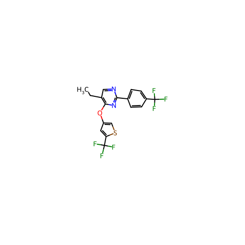 CCc1cnc(-c2ccc(C(F)(F)F)cc2)nc1Oc1csc(C(F)(F)F)c1